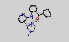 CCC(N1CCN(C)CC1)N(c1ccccc1C(=O)c1ccccc1)c1ncccc1[N+](=O)[O-]